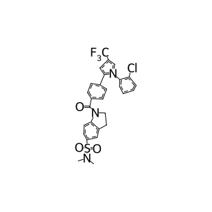 CN(C)S(=O)(=O)c1ccc2c(c1)CCN2C(=O)c1ccc(-c2cc(C(F)(F)F)cn2-c2ccccc2Cl)cc1